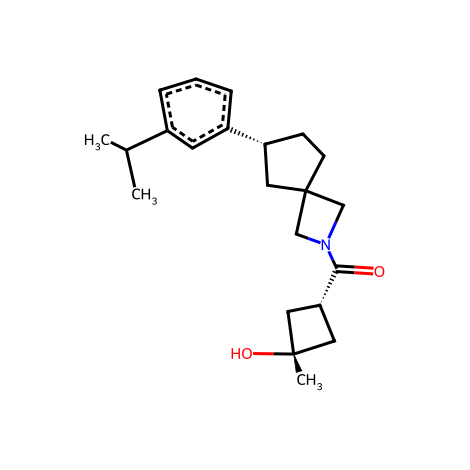 CC(C)c1cccc([C@@H]2CCC3(C2)CN(C(=O)[C@H]2C[C@@](C)(O)C2)C3)c1